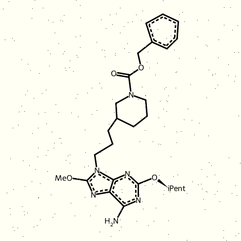 CCC[C@H](C)Oc1nc(N)c2nc(OC)n(CCCC3CCCN(C(=O)OCc4ccccc4)C3)c2n1